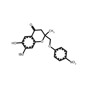 CC1(COc2ccc([N+](=O)[O-])cc2)CC(=O)c2cc(O)c(C(C)(C)C)cc2O1